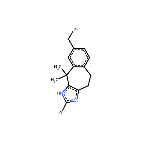 CC(C)Cc1ccc2c(c1)C(C)(C)c1[nH]c(C(C)C)nc1CC2